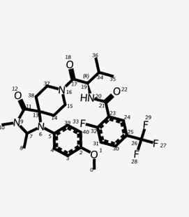 COc1ccc(N2C(C)N(C)C(=O)C23CCN(C(=O)[C@H](NC(=O)c2cc(C(F)(F)F)ccc2F)C(C)C)CC3)cc1